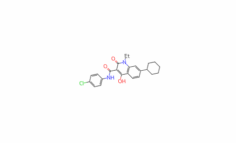 CCn1c(=O)c(C(=O)Nc2ccc(Cl)cc2)c(O)c2ccc(C3CCCCC3)cc21